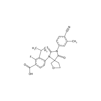 Cc1cc(N2C(=O)C3(CCOC3)N(c3ccc(C(=O)O)c(F)c3C(C)C)C2=S)ccc1C#N